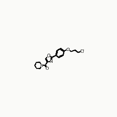 O=C(c1coc(-c2ccc(OCCCCl)cc2)n1)N1CCCCC1